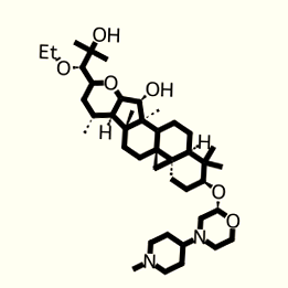 CCO[C@@H](C1C[C@@H](C)[C@H]2C(O1)[C@H](O)[C@@]1(C)C3CC[C@H]4C(C)(C)[C@@H](O[C@H]5CN(C6CCN(C)CC6)CCO5)CC[C@@]45C[C@@]35CC[C@]21C)C(C)(C)O